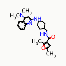 Cc1cc(C(=O)NCC2CCC(Nc3cc(N(C)C)c4ccccc4n3)CC2)c(C)o1